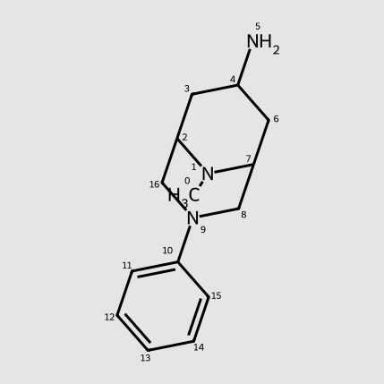 CN1C2CC(N)CC1CN(c1ccccc1)C2